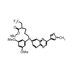 COc1cc(OC)cc(N(CCCN(CC(F)(F)F)C(=O)OC(C)(C)C)c2ccc3ncc(-c4cnn(C)c4)nc3c2)c1